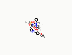 COc1ccc(CN(C(=O)OC(C)(C)C)c2cc(C[C@H]3C(=O)N(C(=O)N[C@H](C)c4ccccc4)[C@@H]3S(C)(=O)=O)ccn2)cc1